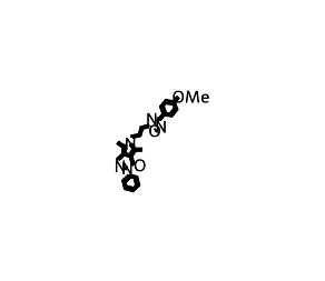 COc1ccc(-c2noc(CCCn3c(C)c4cnn(-c5ccccc5)c(=O)c4c3C)n2)cc1